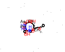 CC(=O)CC[C@H]1C(=O)N[C@@H](C(C)C)C(=O)NC(c2cccc(O)c2)C(=O)N2CCCC(N2)C(=O)O[C@H](/C(C)=C/C=C/C(=O)CCC2CCCCC2)C/C=C/C=C/[C@H](O)[C@H](C)[C@H]1O